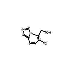 OCc1c(Cl)ccc2cncn12